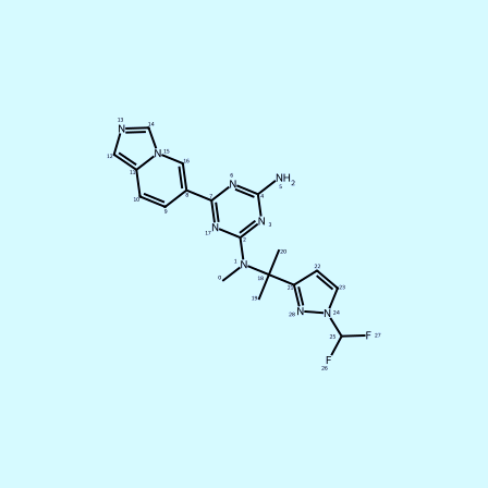 CN(c1nc(N)nc(-c2ccc3cncn3c2)n1)C(C)(C)c1ccn(C(F)F)n1